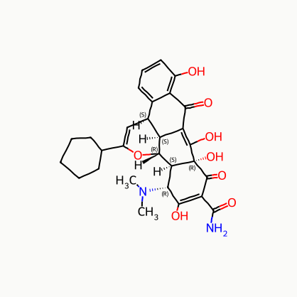 CN(C)[C@H]1C(O)=C(C(N)=O)C(=O)[C@]2(O)C(O)=C3C(=O)c4c(O)cccc4[C@@H]4C=C(C5CCCCC5)O[C@H]([C@H]34)[C@H]12